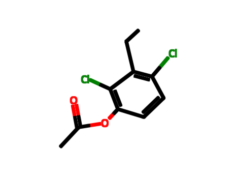 CCc1c(Cl)ccc(OC(C)=O)c1Cl